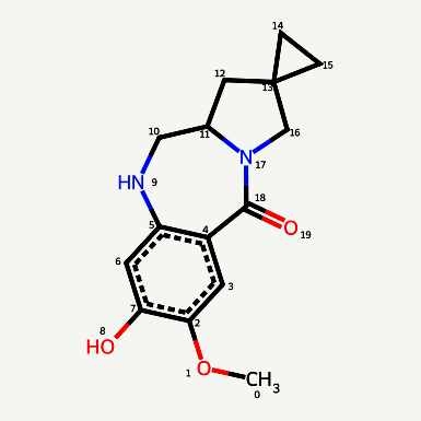 COc1cc2c(cc1O)NCC1CC3(CC3)CN1C2=O